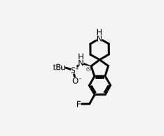 CC(C)(C)[S+]([O-])N[C@@H]1c2cc(CF)ccc2CC12CCNCC2